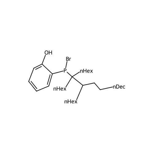 CCCCCCCCCCCCC(CCCCCC)C(CCCCCC)(CCCCCC)P(Br)c1ccccc1O